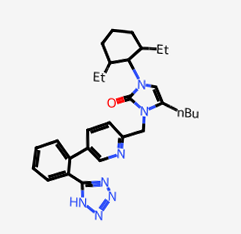 CCCCc1cn(C2C(CC)CCCC2CC)c(=O)n1Cc1ccc(-c2ccccc2-c2nnn[nH]2)cn1